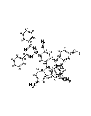 Cc1ccc2c(c1)c1cc(C)ccc1n2-c1cc(C#N)c(-c2nc(-c3ccccc3)nc(-c3ccccc3)n2)cc1-n1c2ccc(C)cc2c2cc(C)ccc21